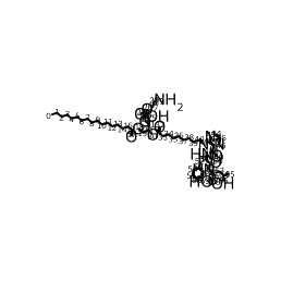 CCCCCCCCCCCCCCCCC(=O)OCC(COP(=O)(O)OCCN)OC(=O)CCCCCCCCNc1nccnc1C(=O)N[C@@H](Cc1ccccc1)C(=O)N[C@@H](CC(C)C)B(O)O